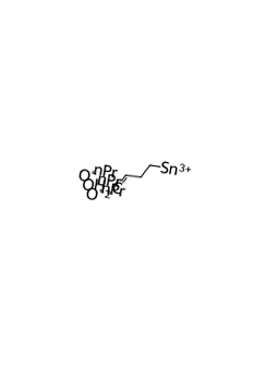 C=CC[CH2][Sn+3].CCC[O-].CCC[O-].CCC[O-]